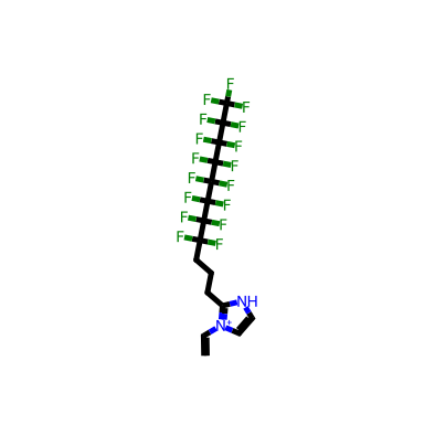 C=C[n+]1cc[nH]c1CCCC(F)(F)C(F)(F)C(F)(F)C(F)(F)C(F)(F)C(F)(F)C(F)(F)C(F)(F)F